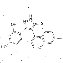 Cc1ccc2c(-n3c(-c4ccc(O)cc4O)n[nH]c3=S)cccc2c1